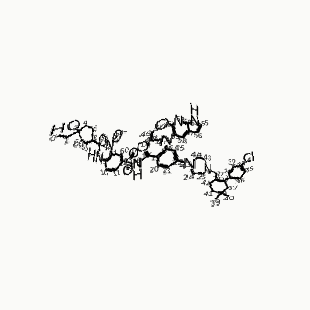 CCC1(O)CCC(CNc2ccc(S(=O)(=O)NC(=O)c3ccc(N4CCN(CC5=C(c6ccc(Cl)cc6)CC(C)(C)CC5)CC4)cc3N3CCOc4nc5[nH]ccc5cc43)cc2[N+](=O)[O-])CC1